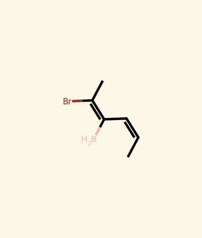 BC(/C=C\C)=C(/C)Br